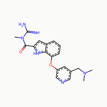 CN(C)Cc1cncc(Oc2cccc3cc(C(=O)N(C)C(=N)N)[nH]c23)c1